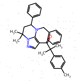 Cc1ccc(C(C)(C)C(=O)c2cnn3c2N(Cc2ccccc2)C(c2ccccc2)CC3(C)C)cc1